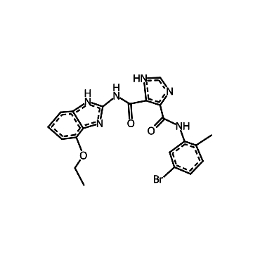 CCOc1cccc2[nH]c(NC(=O)c3[nH]cnc3C(=O)Nc3cc(Br)ccc3C)nc12